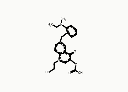 CCN(C)c1ccccc1Cc1ccc2c(c1)c(=O)c(OC(=O)O)cn2CCO